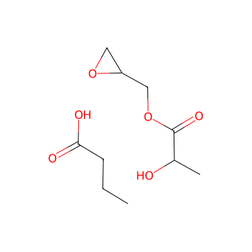 CC(O)C(=O)OCC1CO1.CCCC(=O)O